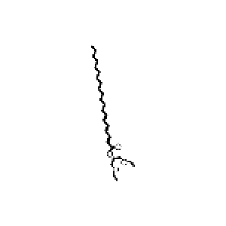 CCCCCCCCCCCCCC=CC=CC=CC(=O)OC(COCC)COCC